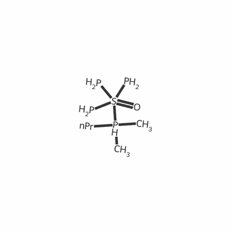 CCC[PH](C)(C)S(=O)(P)(P)P